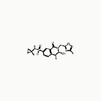 Cc1noc(CN2C(=O)c3cc(S(=O)(=O)NC4(C)CC4)ccc3N(C)C2O)n1